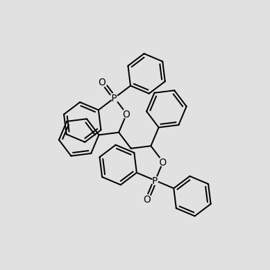 O=P(OC(CC(OP(=O)(c1ccccc1)c1ccccc1)c1ccccc1)c1ccccc1)(c1ccccc1)c1ccccc1